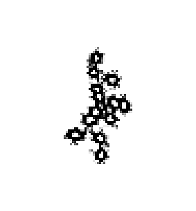 c1ccc(N(c2ccc3cc4c(cc3c2)C2(c3cc5cc(N(c6ccccc6)c6ccc7sc8ccccc8c7c6)ccc5cc3-4)c3ccccc3-c3c2ccc2ccccc32)c2ccc3sc4ccccc4c3c2)cc1